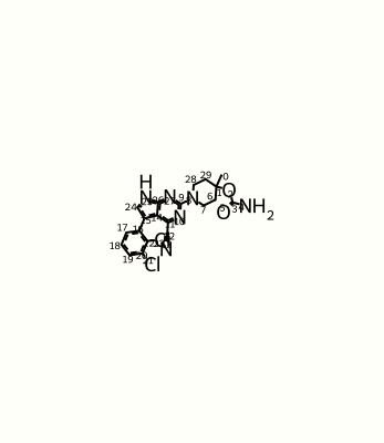 CC1(OC(N)=O)CCN(c2nc(C#N)c3c(-c4cccc(Cl)c4Cl)c[nH]c3n2)CC1